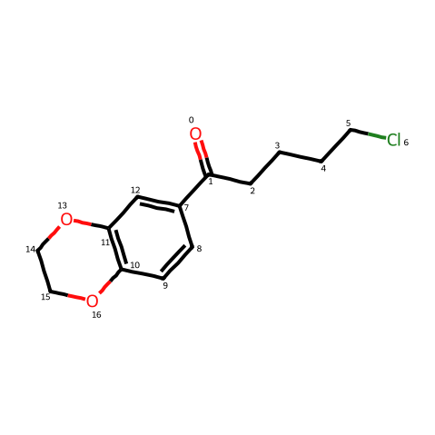 O=C(CCCCCl)c1ccc2c(c1)OCCO2